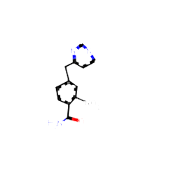 NC(=O)c1ccc(Cc2ccncn2)cc1[N+](=O)[O-]